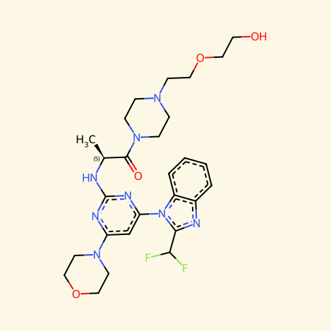 C[C@H](Nc1nc(N2CCOCC2)cc(-n2c(C(F)F)nc3ccccc32)n1)C(=O)N1CCN(CCOCCO)CC1